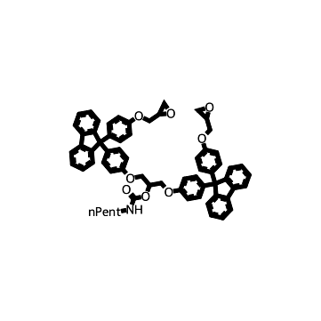 CCCCCNC(=O)OC(COc1ccc(C2(c3ccc(OCC4CO4)cc3)c3ccccc3-c3ccccc32)cc1)COc1ccc(C2(c3ccc(OCC4CO4)cc3)c3ccccc3-c3ccccc32)cc1